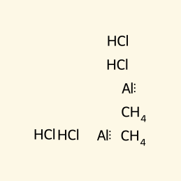 C.C.Cl.Cl.Cl.Cl.[Al].[Al]